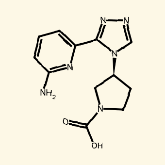 Nc1cccc(-c2nncn2[C@H]2CCN(C(=O)O)C2)n1